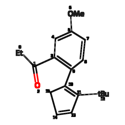 CCC(=O)c1cc(OC)ccc1C1=C(C(C)(C)C)C=CC1